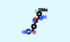 COc1cc2[nH]nc(-c3cc(-c4ccc(C(=O)N5CCNCC5)cc4)no3)c2cc1F